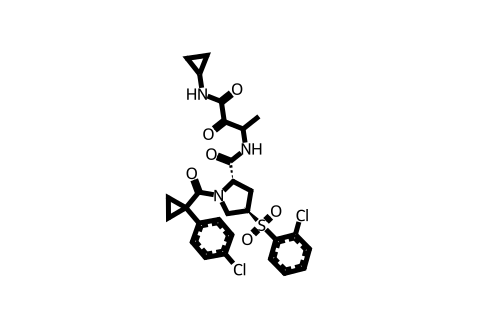 CC(NC(=O)[C@@H]1C[C@@H](S(=O)(=O)c2ccccc2Cl)CN1C(=O)C1(c2ccc(Cl)cc2)CC1)C(=O)C(=O)NC1CC1